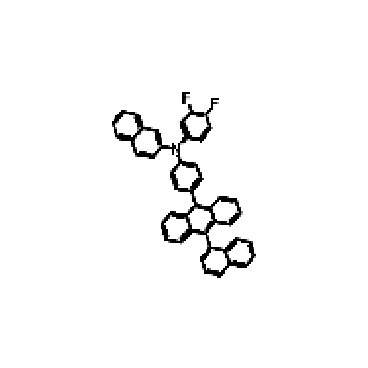 Fc1ccc(N(c2ccc(-c3c4ccccc4c(-c4cccc5ccccc45)c4ccccc34)cc2)c2ccc3ccccc3c2)cc1F